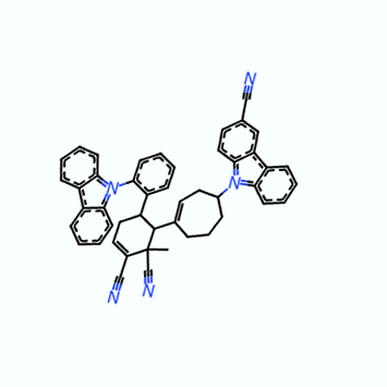 CC1(C#N)C(C#N)=CCC(c2ccccc2-n2c3ccccc3c3ccccc32)C1C1=CCC(n2c3ccccc3c3cc(C#N)ccc32)CCC1